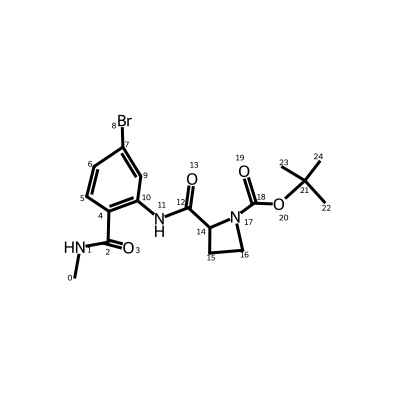 CNC(=O)c1ccc(Br)cc1NC(=O)C1CCN1C(=O)OC(C)(C)C